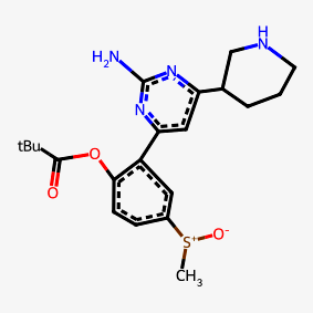 C[S+]([O-])c1ccc(OC(=O)C(C)(C)C)c(-c2cc(C3CCCNC3)nc(N)n2)c1